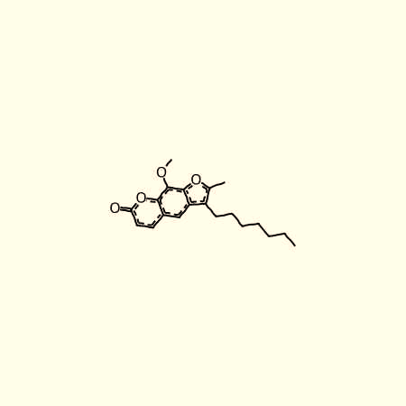 CCCCCCCc1c(C)oc2c(OC)c3oc(=O)ccc3cc12